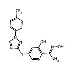 N/C(=N\O)c1ncc(Nc2ncn(-c3ccc(C(F)(F)F)cc3)n2)cc1O